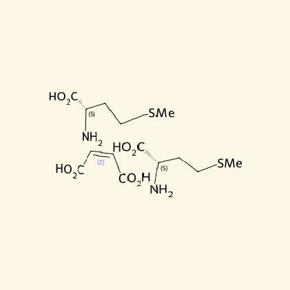 CSCC[C@H](N)C(=O)O.CSCC[C@H](N)C(=O)O.O=C(O)/C=C\C(=O)O